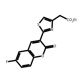 CCOC(=O)Cc1csc(-c2cc3cc(F)ccc3oc2=O)n1